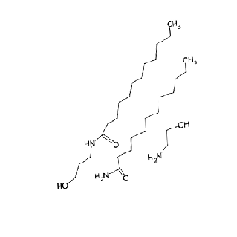 CCCCCCCCCCCC(=O)NCCCO.CCCCCCCCCCCC(N)=O.NCCO